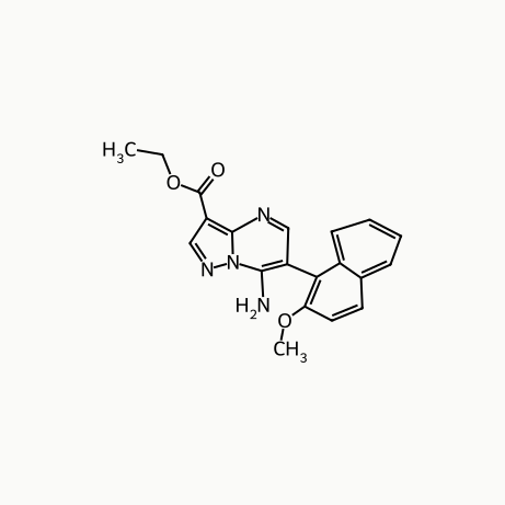 CCOC(=O)c1cnn2c(N)c(-c3c(OC)ccc4ccccc34)cnc12